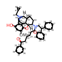 COc1cc(O)c2c3c1O[C@H]1[C@H](N(CC(c4ccccc4)c4ccccc4)C(=O)CCCCC(=O)c4ccccc4)CC[C@H]4[C@@H](C2)N(CC2CC2)CC[C@@]341